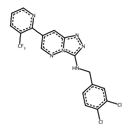 FC(F)(F)c1cccnc1-c1cnn2c(NCc3ccc(Cl)c(Cl)c3)nnc2c1